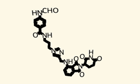 O=CNc1ccc(C(=O)NCCCn2cnc(CNc3cccc4c3C(=O)N(C3CCC(=O)NC3=O)C4=O)c2)cc1